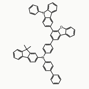 CC1(C)c2ccccc2-c2ccc(N(c3ccc(-c4ccccc4)cc3)c3ccc(-c4cc(-c5ccc6c(c5)c5ccccc5n6-c5ccccc5)c5oc6ccccc6c5c4)cc3)cc21